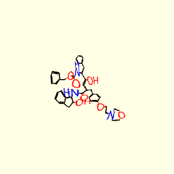 O=C(NC(Cc1ccccc1)C(O)CC(Cc1ccc(OCCN2CCOCC2)cc1)C(=O)NC1c2ccccc2CC1O)OCc1ccccc1